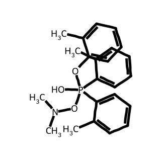 Cc1ccccc1OP(O)(ON(C)C)(c1ccccc1C)c1ccccc1C